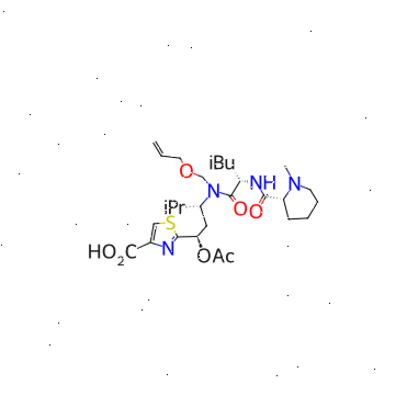 C=CCOCN(C(=O)[C@@H](NC(=O)[C@H]1CCCCN1C)[C@@H](C)CC)[C@H](C[C@@H](OC(C)=O)c1nc(C(=O)O)cs1)C(C)C